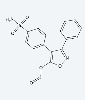 NS(=O)(=O)c1ccc(-c2c(-c3ccccc3)noc2OC=O)cc1